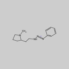 CN1CCCC1CCN/N=N/c1ccccc1